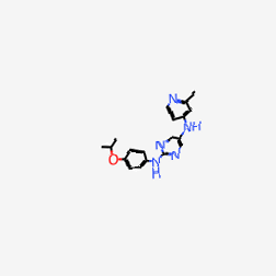 Cc1cc(Nc2cnc(Nc3ccc(OC(C)C)cc3)nc2)ccn1